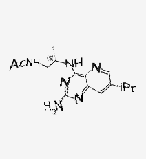 CC(=O)NC[C@H](C)Nc1nc(N)nc2cc(C(C)C)cnc12